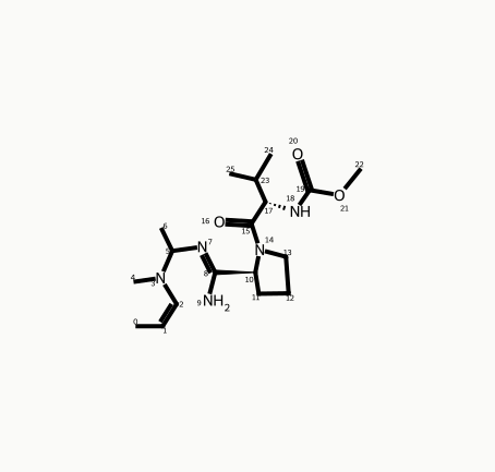 C/C=C\N(C)C(C)/N=C(\N)[C@@H]1CCCN1C(=O)[C@@H](NC(=O)OC)C(C)C